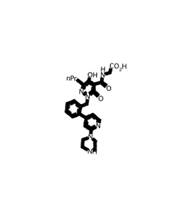 CCCc1nn(Cc2ccccc2-c2ccnc(N3CCNCC3)c2)c(=O)c(C(=O)NCC(=O)O)c1O